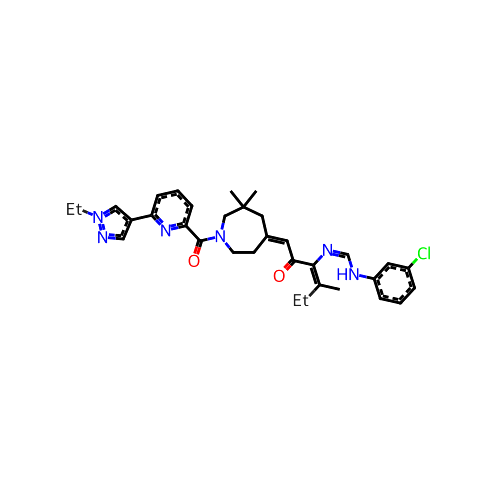 CC/C(C)=C(/N=C\Nc1cccc(Cl)c1)C(=O)/C=C1\CCN(C(=O)c2cccc(-c3cnn(CC)c3)n2)CC(C)(C)C1